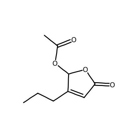 CCCC1=CC(=O)OC1OC(C)=O